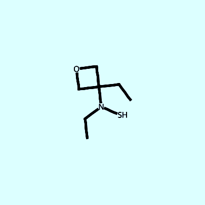 CCN(S)C1(CC)COC1